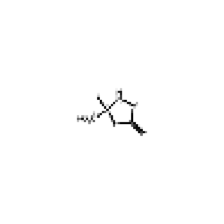 C=C1CN[C@](C)(C(=O)O)C1